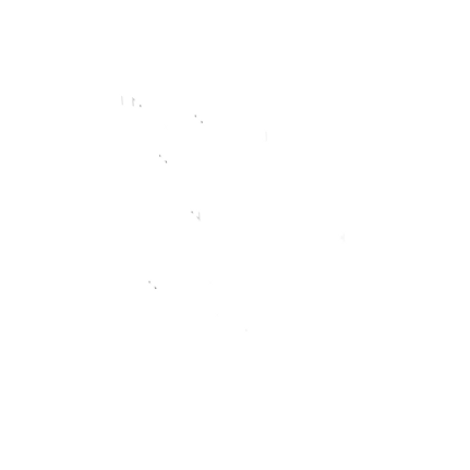 Cc1cnc(Cn2cc(CCO)c3c(Cl)nc(N)nc32)c(C)c1Cl